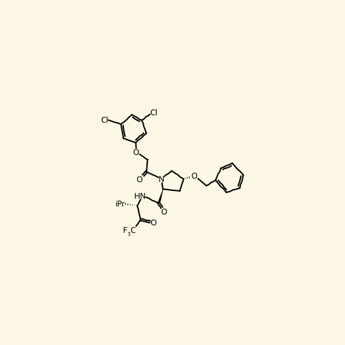 CC(C)[C@H](NC(=O)[C@@H]1C[C@@H](OCc2ccccc2)CN1C(=O)COc1cc(Cl)cc(Cl)c1)C(=O)C(F)(F)F